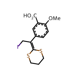 COc1ccc(C(CI)=C2SCCCS2)cc1C(=O)O